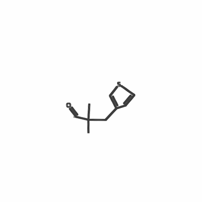 CC(C)([C]=O)Cc1ccsc1